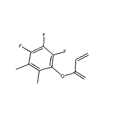 C=CC(=C)Oc1c(C)c(C)c(F)c(F)c1F